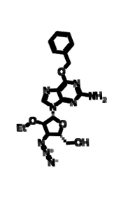 CCO[C@@H]1C(N=[N+]=[N-])[C@@H](CO)O[C@H]1n1cnc2c(OCc3ccccc3)nc(N)nc21